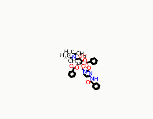 CC(C)N(CC(O)C(OC(=O)c1ccccc1)[C@@H](COC(=O)c1ccccc1)OCn1ccc(NC(=O)c2ccccc2)nc1=O)C(C)C